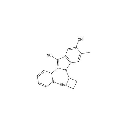 Cc1cc2c(cc1O)c(C#N)c(C1C=CC=CN1C(C)(C)C)n2C1CCC1